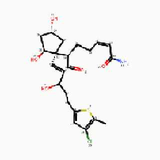 Cc1sc(CCC(O)/C=C/[C@@]2([C@H]([C]=O)CC/C=C\C(N)=O)C[C@@H](O)C[C@@H]2O)cc1Cl